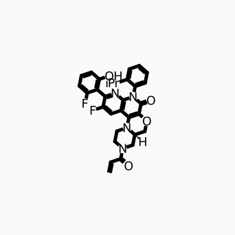 C=CC(=O)N1CCN2c3c(c(=O)n(-c4ccccc4C(C)C)c4nc(-c5c(O)cccc5F)c(F)cc34)OC[C@H]2C1